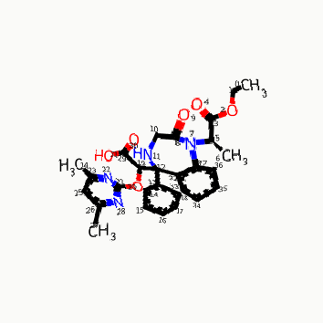 CCOC(=O)[C@@H](C)N1C(=O)CNC(c2ccccc2)(C(Oc2nc(C)cc(C)n2)C(=O)O)c2ccccc21